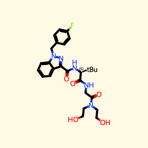 CC(C)(C)[C@H](NC(=O)c1nn(Cc2ccc(F)cc2)c2ccccc12)C(=O)NCC(=O)N(CCO)CCO